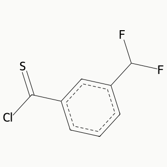 FC(F)c1cccc(C(=S)Cl)c1